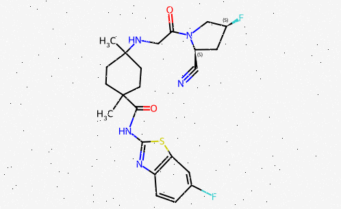 CC1(NCC(=O)N2C[C@@H](F)C[C@H]2C#N)CCC(C)(C(=O)Nc2nc3ccc(F)cc3s2)CC1